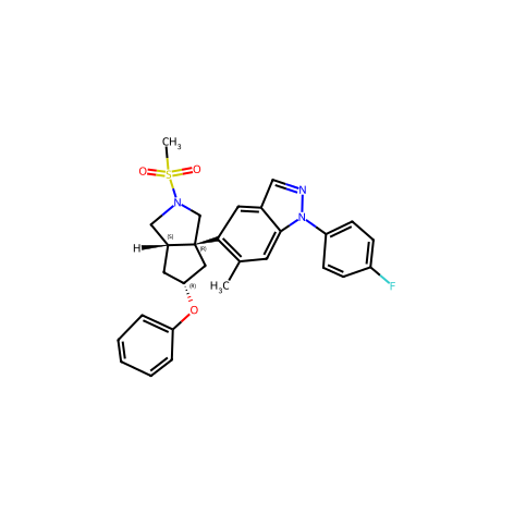 Cc1cc2c(cnn2-c2ccc(F)cc2)cc1[C@@]12C[C@H](Oc3ccccc3)C[C@@H]1CN(S(C)(=O)=O)C2